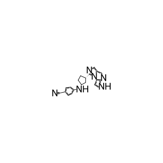 N#Cc1ccc(N[C@@H]2CC[C@H](c3ncc4cnc5[nH]ccc5n34)C2)cc1